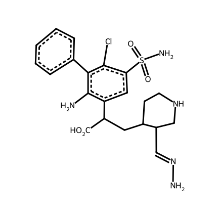 NN=CC1CNCCC1CC(C(=O)O)c1cc(S(N)(=O)=O)c(Cl)c(-c2ccccc2)c1N